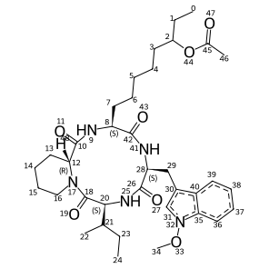 CCC(CCCCC[C@@H]1NC(=O)[C@H]2CCCCN2C(=O)[C@H](C(C)CC)NC(=O)[C@H](Cc2cn(OC)c3ccccc23)NC1=O)OC(C)=O